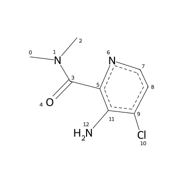 CN(C)C(=O)c1nccc(Cl)c1N